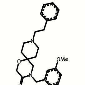 COc1cccc(CN2CC3(CCN(CCc4ccccc4)CC3)OCC2=O)c1